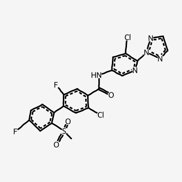 CS(=O)(=O)c1cc(F)ccc1-c1cc(Cl)c(C(=O)Nc2cnc(-n3nccn3)c(Cl)c2)cc1F